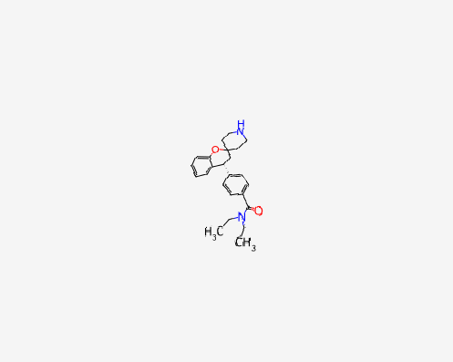 CCN(CC)C(=O)c1ccc([C@H]2CC3(CCNCC3)Oc3ccccc32)cc1